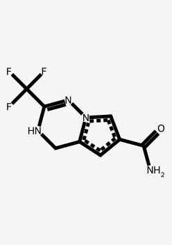 NC(=O)c1cc2n(c1)N=C(C(F)(F)F)NC2